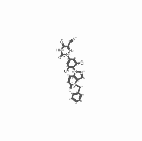 N#Cc1nn(-c2cc(Cl)c(-n3ncc4c3ccc(=O)n4Cc3ccccc3)c(Cl)c2)c(=O)[nH]c1=O